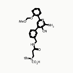 COCOc1ccccc1-c1cc(-c2cccc(CNC(=O)CCN(C(=O)O)C(C)(C)C)c2)c(C#N)c(N)n1